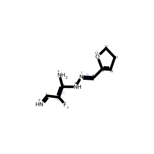 N=C/C(F)=C(\N)N/N=C/C1=CCCO1